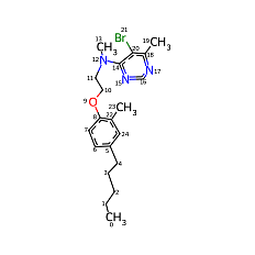 CCCCCc1ccc(OCCN(C)c2ncnc(C)c2Br)c(C)c1